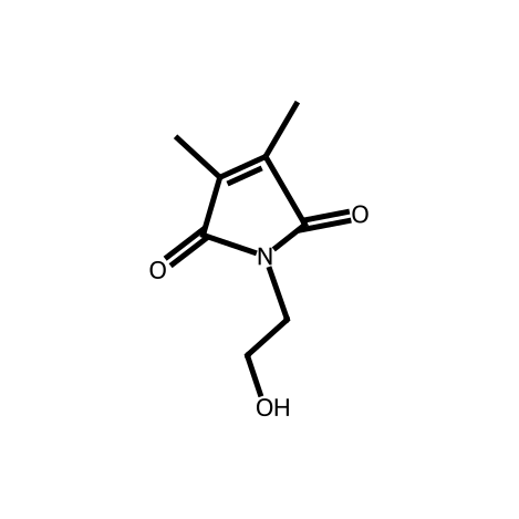 CC1=C(C)C(=O)N(CCO)C1=O